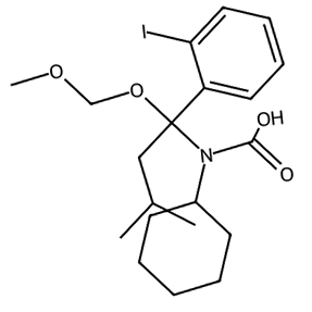 COCOC(CC(C)C)(c1ccccc1I)N(C(=O)O)C1CCCCC1